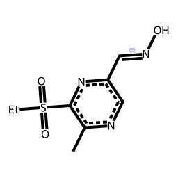 CCS(=O)(=O)c1nc(/C=N/O)cnc1C